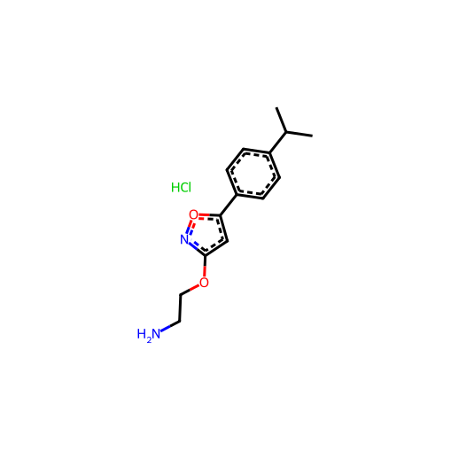 CC(C)c1ccc(-c2cc(OCCN)no2)cc1.Cl